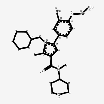 Cc1c(C(=O)N(C)C2CCOCC2)cc(-c2ccc(SNC(C)(C)C)c(C(C)(C)C)c2)n1CC1CCCCC1